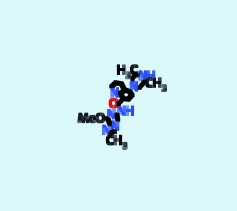 COc1nc(NC(=O)c2ccc(N3C[C@H](C)N[C@@H](C)C3)c3cccnc23)cn2cc(C)nc12